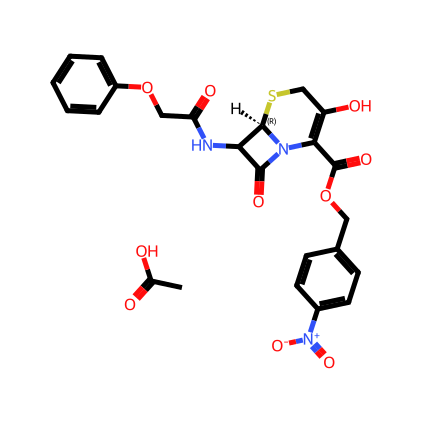 CC(=O)O.O=C(COc1ccccc1)NC1C(=O)N2C(C(=O)OCc3ccc([N+](=O)[O-])cc3)=C(O)CS[C@H]12